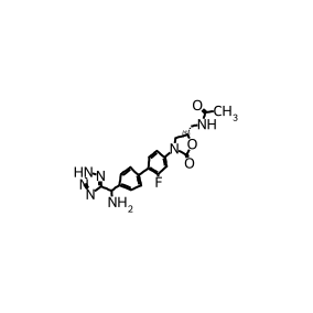 CC(=O)NC[C@H]1CN(c2ccc(-c3ccc(C(N)c4nn[nH]n4)cc3)c(F)c2)C(=O)O1